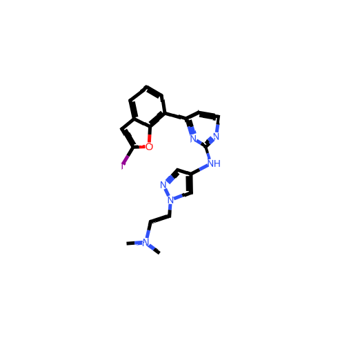 CN(C)CCn1cc(Nc2nccc(-c3cccc4cc(I)oc34)n2)cn1